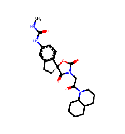 CNC(=O)Nc1ccc2c(c1)CC[C@@]21OC(=O)N(CC(=O)N2CCCC3CCCCC32)C1=O